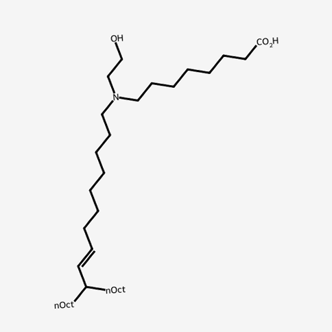 CCCCCCCCC(C=CCCCCCCCN(CCO)CCCCCCCC(=O)O)CCCCCCCC